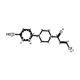 O=C(O)c1ccc(N2CCN(C(=O)C=CC(F)(F)F)CC2)nn1